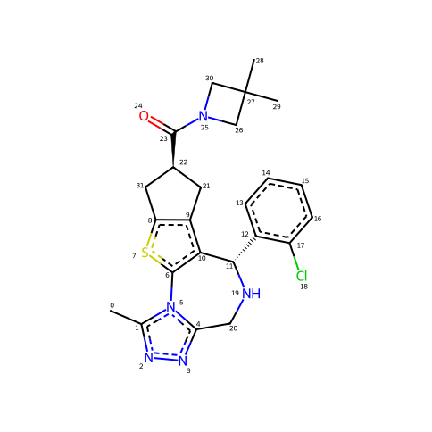 Cc1nnc2n1-c1sc3c(c1[C@H](c1ccccc1Cl)NC2)C[C@H](C(=O)N1CC(C)(C)C1)C3